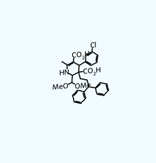 COC(OC)C1NC(C)=C(C(=O)O)C(c2cccc(Cl)c2)C1(CCC(c1ccccc1)c1ccccc1)C(=O)O